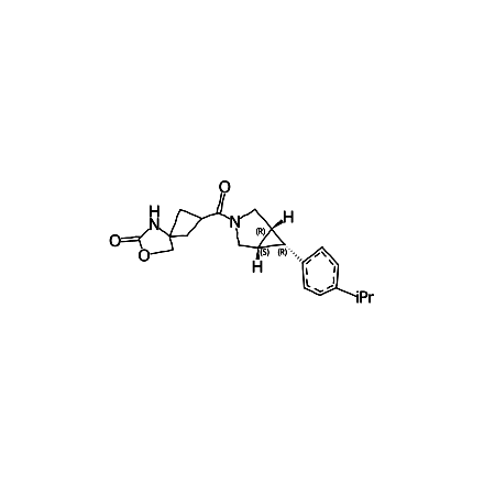 CC(C)c1ccc([C@@H]2[C@@H]3CN(C(=O)C4CC5(COC(=O)N5)C4)C[C@@H]32)cc1